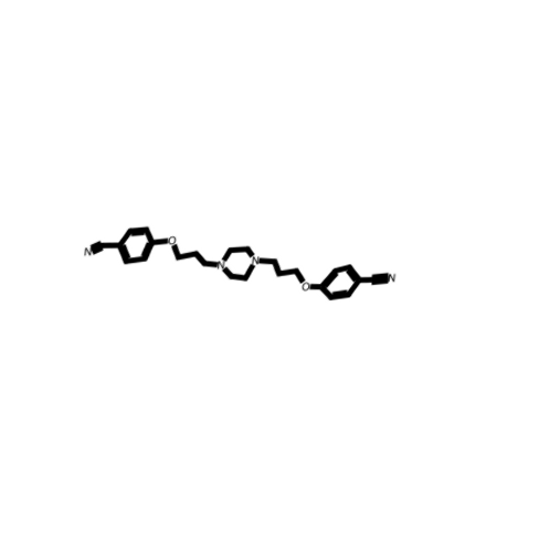 N#Cc1ccc(OCCCN2CCN(CCCOc3ccc(C#N)cc3)CC2)cc1